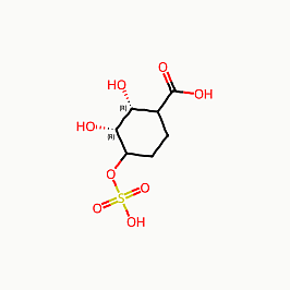 O=C(O)C1CCC(OS(=O)(=O)O)[C@H](O)[C@@H]1O